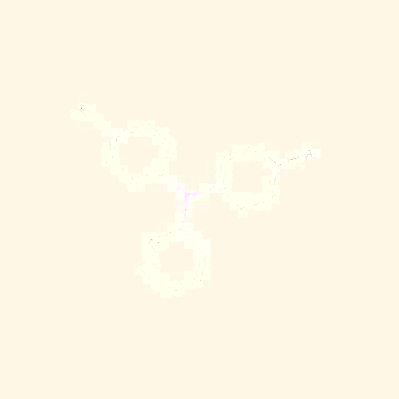 CC(=O)c1ccc(P(c2ccccc2)c2ccc(C(C)=O)cc2)cc1